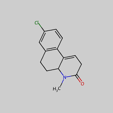 CN1C(=O)CC=C2c3ccc(Cl)cc3CCC21